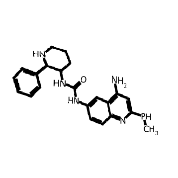 CPc1cc(N)c2cc(NC(=O)NC3CCCNC3c3ccccc3)ccc2n1